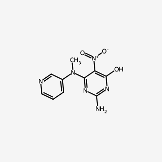 CN(c1cccnc1)c1nc(N)nc(O)c1[N+](=O)[O-]